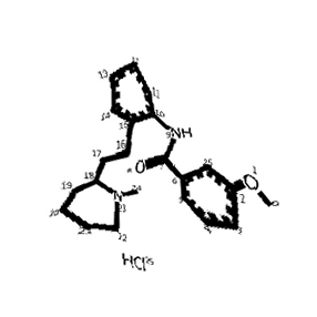 COc1cccc(C(=O)Nc2ccccc2CCC2CCCCN2C)c1.Cl